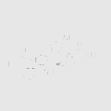 CC(C)C(C)(C)NCc1cc(-c2[c]cc(-c3ccccc3C(C)(C)C)c(N)c2C#N)cc(Cl)c1N